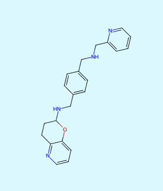 c1ccc(CNCc2ccc(CNC3CCc4ncccc4O3)cc2)nc1